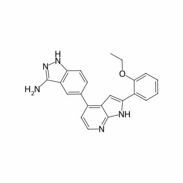 CCOc1ccccc1-c1cc2c(-c3ccc4[nH]nc(N)c4c3)ccnc2[nH]1